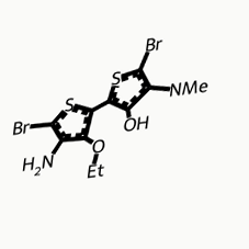 CCOc1c(-c2sc(Br)c(NC)c2O)sc(Br)c1N